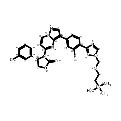 C[Si](C)(C)CCOCn1cnc(-c2ccc(-c3cnn4ccc(N5C(=O)OC[C@@H]5c5cccc(Cl)c5)nc34)cc2F)n1